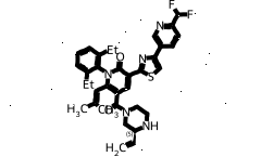 C=C[C@H]1CN(C(=O)c2cc(-c3nc(-c4ccc(C(F)F)nc4)cs3)c(=O)n(-c3c(CC)cccc3CC)c2C=C(C)C)CCN1